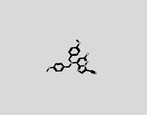 COc1ccc(CN(Cc2ccc(OC)cc2)c2cc(Cl)nn3c(C#N)cnc23)cc1